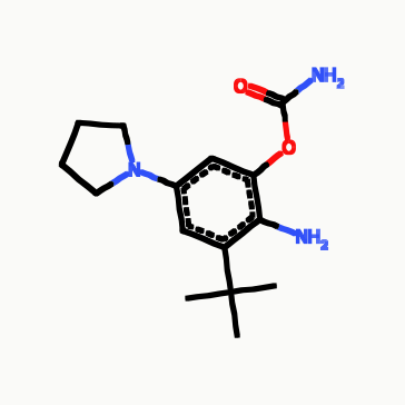 CC(C)(C)c1cc(N2CCCC2)cc(OC(N)=O)c1N